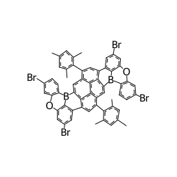 Cc1cc(C)c(-c2cc3c4c(cc5c(-c6c(C)cc(C)cc6C)cc6c7c(cc2c4c57)B2c4ccc(Br)cc4Oc4cc(Br)cc-6c42)B2c4ccc(Br)cc4Oc4cc(Br)cc-3c42)c(C)c1